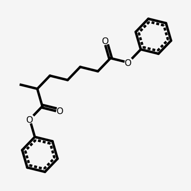 CC(CCCCC(=O)Oc1ccccc1)C(=O)Oc1ccccc1